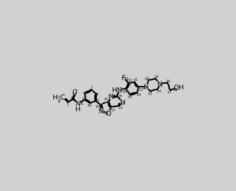 C=CC(=O)Nc1cccc(-c2noc3cnc(Nc4ccc(N5CCN(CCO)CC5)cc4F)nc23)c1